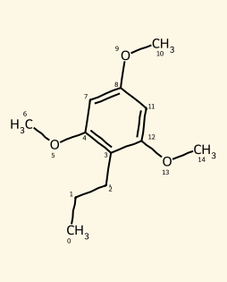 CC[CH]c1c(OC)cc(OC)cc1OC